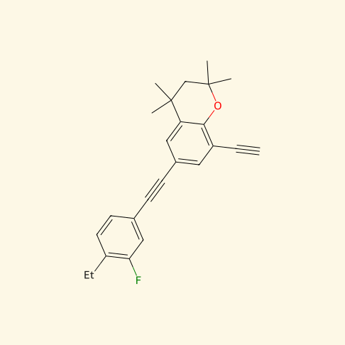 C#Cc1cc(C#Cc2ccc(CC)c(F)c2)cc2c1OC(C)(C)CC2(C)C